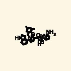 Cc1cc(C)c(Oc2nc(-c3cccc4[nH]ccc34)ccc2C(=O)NS(=O)(=O)c2cccc(N)n2)c(C)c1